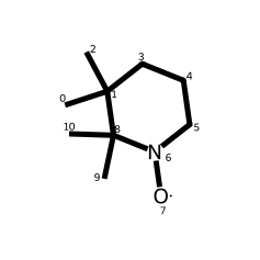 CC1(C)CCCN([O])C1(C)C